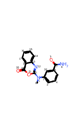 CN(c1cccc(C(N)=O)c1)c1nc2ccccc2c(=O)o1